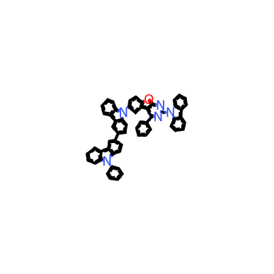 c1ccc(-c2nc(-n3c4ccccc4c4ccccc43)nc3oc4ccc(-n5c6ccccc6c6cc(-c7ccc8c(c7)c7ccccc7n8-c7ccccc7)ccc65)cc4c23)cc1